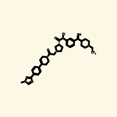 CCN(C(=O)[C@@H]1CCN(CC(=O)N2CC=C(c3ccc(-c4ncn(C)n4)cc3)CC2)C1)c1cccc(C(=N)C2CCN(CC(F)(F)F)CC2)c1